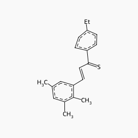 CCc1ccc(C(=S)C=Cc2cc(C)cc(C)c2C)cc1